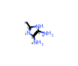 Cc1nc(N)c(N)[nH]1